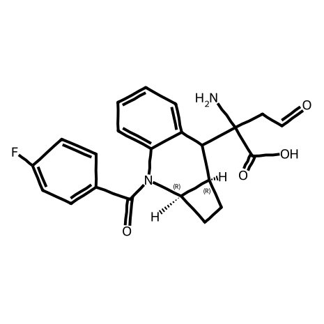 NC(CC=O)(C(=O)O)C1c2ccccc2N(C(=O)c2ccc(F)cc2)[C@@H]2CC[C@H]12